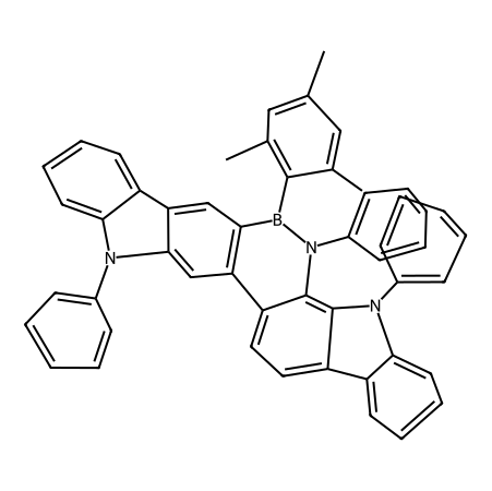 Cc1cc(C)c(B2c3cc4c5ccccc5n(-c5ccccc5)c4cc3-c3ccc4c5ccccc5n(-c5ccccc5)c4c3N2c2ccccc2)c(C)c1